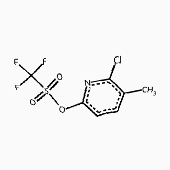 Cc1ccc(OS(=O)(=O)C(F)(F)F)nc1Cl